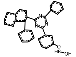 OBOc1cccc(-c2nc(-c3ccccc3)nc(-c3ccc4ccccc4c3-c3ccccc3)n2)c1